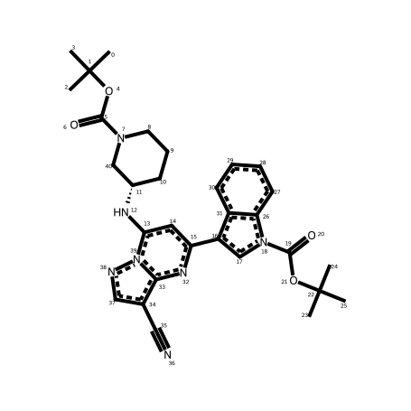 CC(C)(C)OC(=O)N1CCC[C@H](Nc2cc(-c3cn(C(=O)OC(C)(C)C)c4ccccc34)nc3c(C#N)cnn23)C1